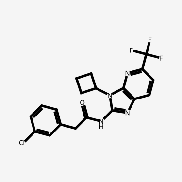 O=C(Cc1cccc(Cl)c1)Nc1nc2ccc(C(F)(F)F)nc2n1C1CCC1